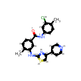 Cc1ccc(NC(=O)c2ccc(C)c(Nc3nc(-c4ccncc4)cs3)c2)cc1Cl